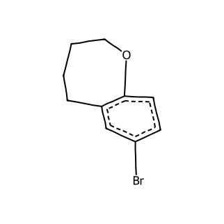 Brc1ccc2c(c1)CCCCO2